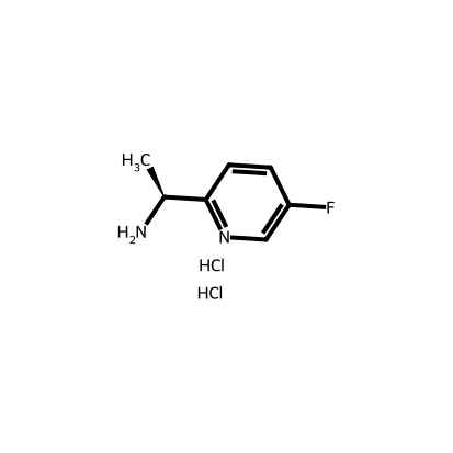 C[C@H](N)c1ccc(F)cn1.Cl.Cl